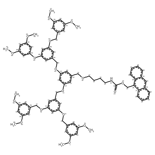 COc1cc(COc2cc(COc3cc(COCCCCNC(=O)OCc4c5ccccc5cc5ccccc45)cc(OCc4cc(OCc5cc(OC)cc(OC)c5)cc(Oc5cc(OC)cc(OC)c5)c4)c3)cc(OCc3cc(OC)cc(OC)c3)c2)cc(OC)c1